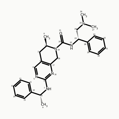 C[C@@H]1Cc2cnc(N[C@H](C)c3ccccc3)nc2CN1C(=O)N[C@H](CN(C)C)c1ccccc1